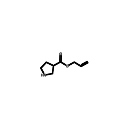 C=CCOC(=O)C1CCNC1